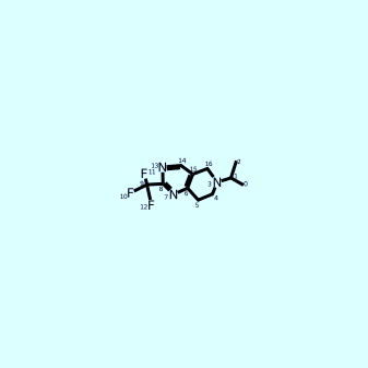 CC(C)N1CCc2nc(C(F)(F)F)ncc2C1